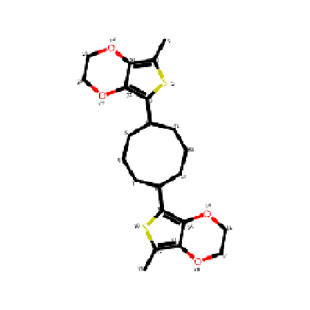 Cc1sc(C2CCCC(c3sc(C)c4c3OCCO4)CCC2)c2c1OCCO2